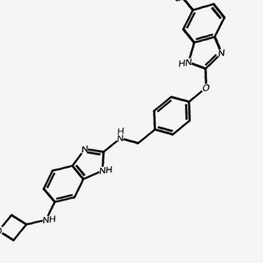 Clc1ccc2nc(Oc3ccc(CNc4nc5ccc(NC6COC6)cc5[nH]4)cc3)[nH]c2c1